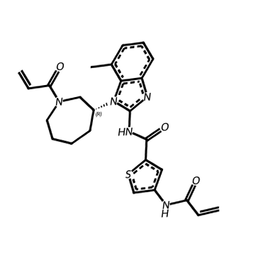 C=CC(=O)Nc1csc(C(=O)Nc2nc3cccc(C)c3n2[C@@H]2CCCCN(C(=O)C=C)C2)c1